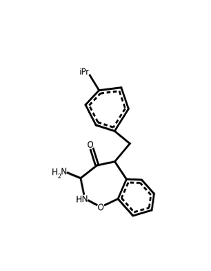 CC(C)c1ccc(CC2C(=O)C(N)NOc3ccccc32)cc1